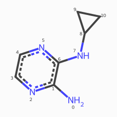 Nc1nccnc1NC1CC1